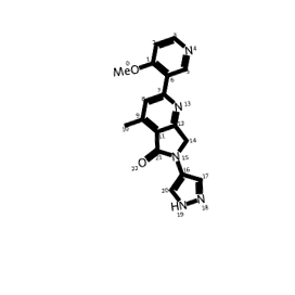 COc1ccncc1-c1cc(C)c2c(n1)CN(c1cn[nH]c1)C2=O